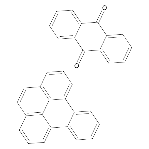 O=C1c2ccccc2C(=O)c2ccccc21.c1ccc2c(c1)c1cccc3ccc4cccc2c4c31